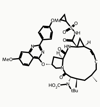 COc1ccc(-c2nc(O[C@@H]3C[C@H]4C(=O)N[C@]5(C(=O)NS(=O)(=O)C6CC6)C[C@H]5/C=C\CC[C@H](C)C[C@@H](C)[C@H](N(C(=O)O)C(C)(C)C)C(=O)N4C3)c3ccc(OC)cc3n2)cc1